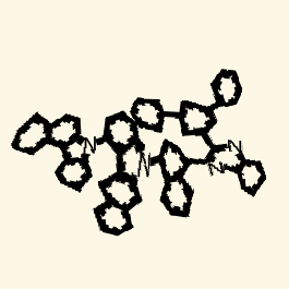 c1ccc(-c2cc(-c3ccccc3)cc(-c3nc4ccccc4nc3-c3ccc(-n4c5cc6ccccc6cc5c5c(-n6c7ccccc7c7c8ccccc8ccc76)cccc54)c4ccccc34)c2)cc1